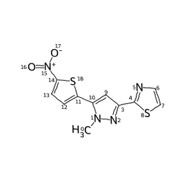 Cn1nc(-c2nccs2)cc1-c1ccc([N+](=O)[O-])s1